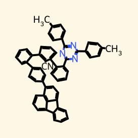 Cc1ccc(-c2nc(-c3ccc(C)cc3)nc(-c3ccccc3-c3cccc(-c4ccccc4-c4ccc(-c5ccc6c7c(cccc57)-c5ccccc5-6)cc4)c3C#N)n2)cc1